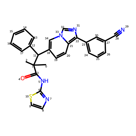 CC(C)(C(=O)Nc1nccs1)C(c1ccccc1)c1ccc2c(-c3cccc(C#N)c3)ncn2c1